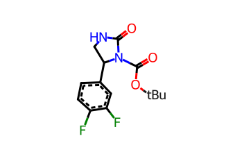 CC(C)(C)OC(=O)N1C(=O)NCC1c1ccc(F)c(F)c1